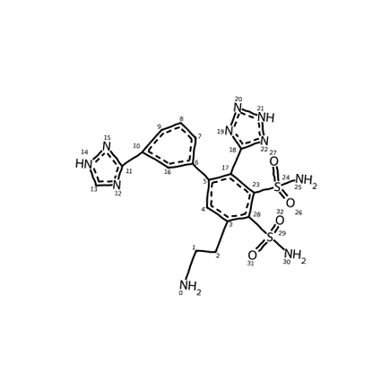 NCCc1cc(-c2cccc(-c3nc[nH]n3)c2)c(-c2nn[nH]n2)c(S(N)(=O)=O)c1S(N)(=O)=O